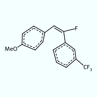 COc1ccc(/C=C(/F)c2cccc(C(F)(F)F)c2)cc1